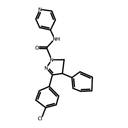 O=C(Nc1ccncc1)N1CC(c2ccccc2)C(c2ccc(Cl)cc2)=N1